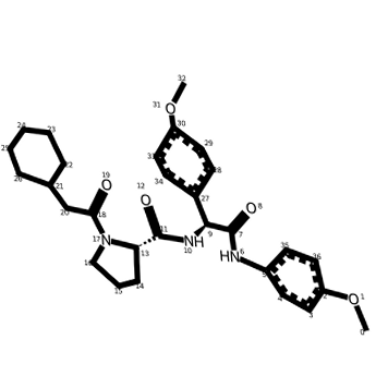 COc1ccc(NC(=O)[C@@H](NC(=O)[C@@H]2CCCN2C(=O)CC2CCCCC2)c2ccc(OC)cc2)cc1